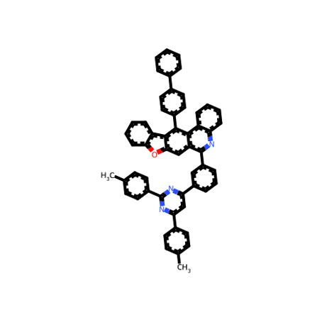 Cc1ccc(-c2cc(-c3cccc(-c4nc5ccccc5c5c(-c6ccc(-c7ccccc7)cc6)c6c(cc45)oc4ccccc46)c3)nc(-c3ccc(C)cc3)n2)cc1